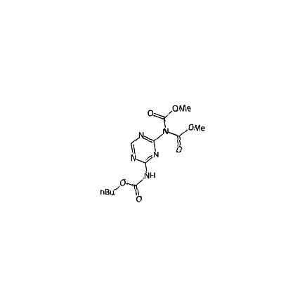 CCCCOC(=O)Nc1ncnc(N(C(=O)OC)C(=O)OC)n1